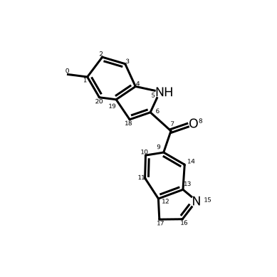 Cc1ccc2[nH]c(C(=O)c3ccc4c(c3)N=CC4)cc2c1